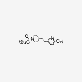 CC(C)(C)OC(=O)N1CCC(CCc2ccc(O)nc2)CC1